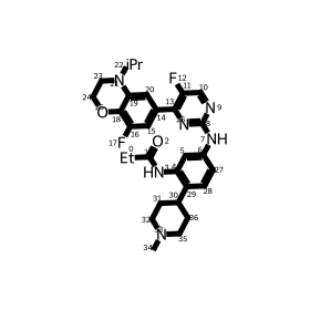 CCC(=O)Nc1cc(Nc2ncc(F)c(-c3cc(F)c4c(c3)N(C(C)C)CCO4)n2)ccc1C1CCN(C)CC1